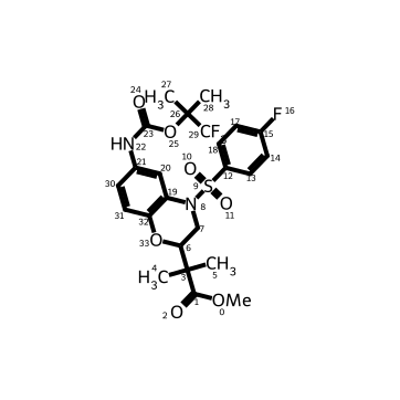 COC(=O)C(C)(C)C1CN(S(=O)(=O)c2ccc(F)cc2)c2cc(NC(=O)OC(C)(C)C(F)(F)F)ccc2O1